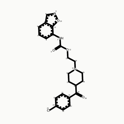 O=C(Nc1cccc2cnoc12)OCCN1CCC(C(=O)c2ccc(Cl)cc2)CC1